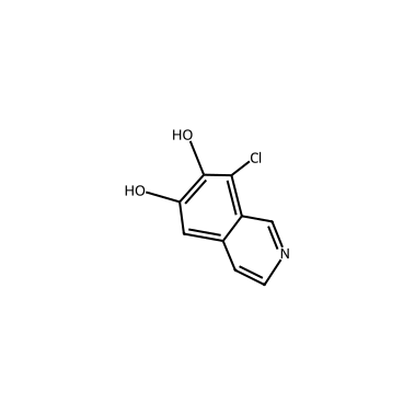 Oc1cc2ccncc2c(Cl)c1O